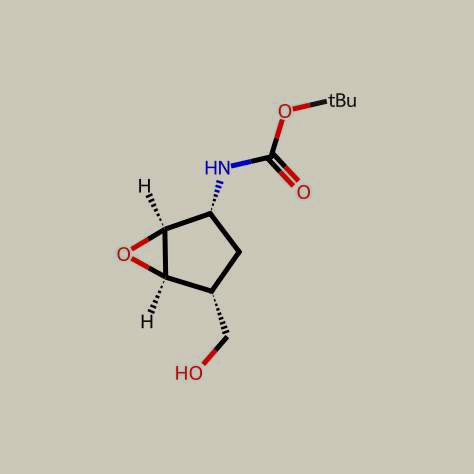 CC(C)(C)OC(=O)N[C@@H]1C[C@H](CO)[C@H]2O[C@H]21